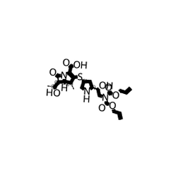 C=CCOC(=O)N(CC(O)[C@@H]1C[C@H](SC2=C(C(=O)O)N3C(=O)[C@H]([C@@H](C)O)[C@H]3[C@H]2C)CN1)C(=O)OCC=C